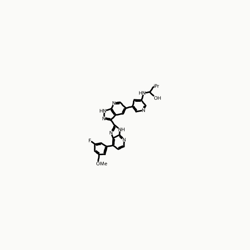 COc1cc(F)cc(-c2ccnc3[nH]c(-c4n[nH]c5ncc(-c6cncc(NC(O)C(C)C)c6)cc45)nc23)c1